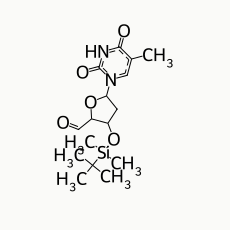 Cc1cn(C2CC(O[Si](C)(C)C(C)(C)C)C(C=O)O2)c(=O)[nH]c1=O